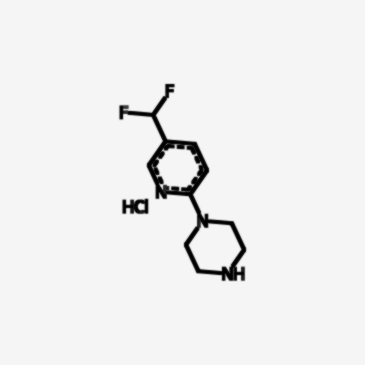 Cl.FC(F)c1ccc(N2CCNCC2)nc1